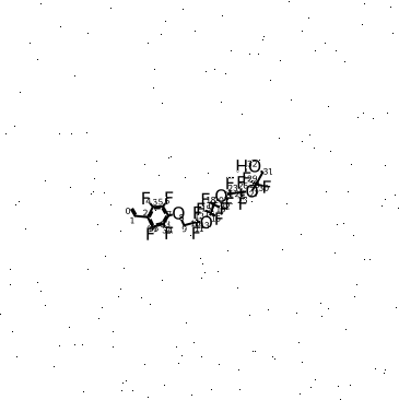 C=Cc1c(F)c(F)c(OCC(F)(F)OC(F)(F)C(F)(F)OC(F)(F)C(F)(F)OC(F)(F)CO)c(F)c1F